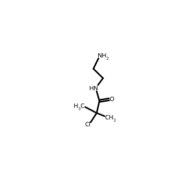 CC(C)(Cl)C(=O)NCCN